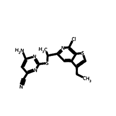 CCc1csc2c(Cl)nc(C(C)Sc3nc(N)cc(C#N)n3)cc12